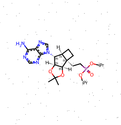 CC(C)OP(=O)(CC[C@@]12CC[C@@H]1[C@@H](n1cnc3c(N)ncnc31)[C@@H]1OC(C)(C)O[C@@H]12)OC(C)C